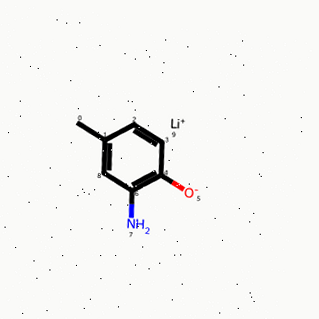 Cc1ccc([O-])c(N)c1.[Li+]